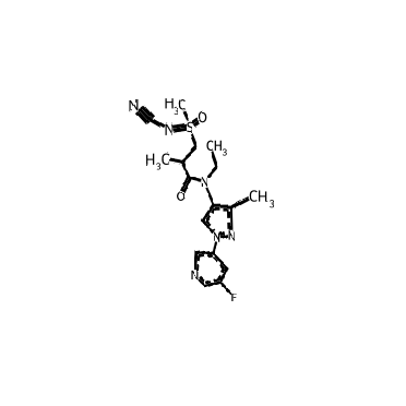 CCN(C(=O)C(C)CS(C)(=O)=NC#N)c1cn(-c2cncc(F)c2)nc1C